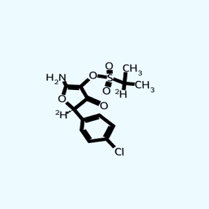 [2H]C(C)(C)S(=O)(=O)OC1=C(N)O[C@]([2H])(c2ccc(Cl)cc2)C1=O